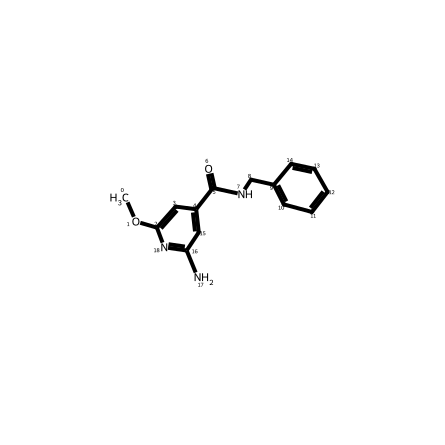 COc1cc(C(=O)NCc2ccccc2)cc(N)n1